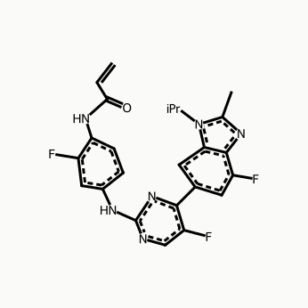 C=CC(=O)Nc1ccc(Nc2ncc(F)c(-c3cc(F)c4nc(C)n(C(C)C)c4c3)n2)cc1F